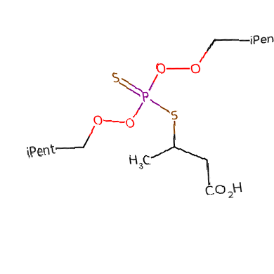 CCCC(C)COOP(=S)(OOCC(C)CCC)SC(C)CC(=O)O